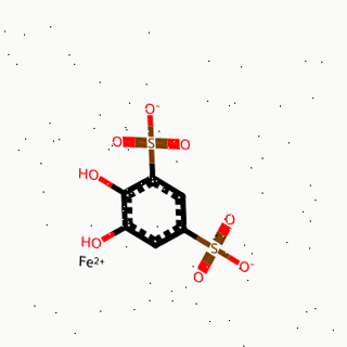 O=S(=O)([O-])c1cc(O)c(O)c(S(=O)(=O)[O-])c1.[Fe+2]